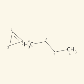 C1=CC1.CCCC